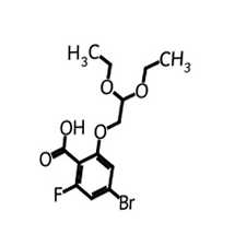 CCOC(COc1cc(Br)cc(F)c1C(=O)O)OCC